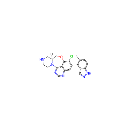 Cc1ccc2[nH]ncc2c1-c1cc2ncnc3c2c(c1Cl)OC[C@@H]1CNCCN31